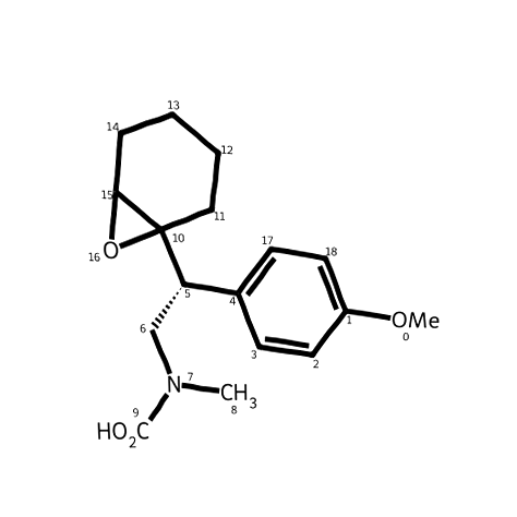 COc1ccc([C@H](CN(C)C(=O)O)C23CCCCC2O3)cc1